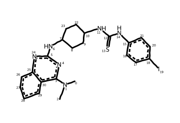 CN(C)c1nc(NC2CCC(NC(=S)Nc3ccc(I)cc3)CC2)nc2ccccc12